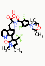 Cc1cc(C(F)(F)F)c(-c2ccc(C[C@H](NC(=O)c3c(F)cc(N4C[C@@H](C)OC[C@H]4C)cc3F)C(=O)O)c3cccnc23)c(=O)n1C